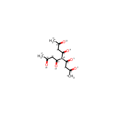 CC(=O)C[C](=O)[Al]([C](=O)CC(C)=O)[C](=O)CC(C)=O